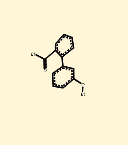 CCOc1cccc(-c2ccc[c]c2C(=O)CC)c1